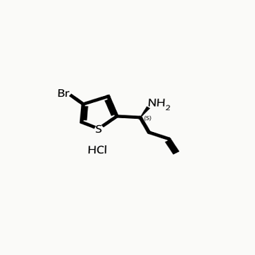 C=CC[C@H](N)c1cc(Br)cs1.Cl